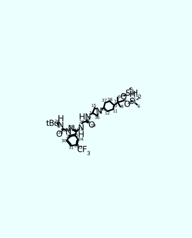 C[SiH2]OC(O[SiH2]C)C(C)(C)C1CCC(N2CC(NC(=O)CNc3nn(C(=O)NC(C)(C)C)c4ccc(C(F)(F)F)cc34)C2)CC1